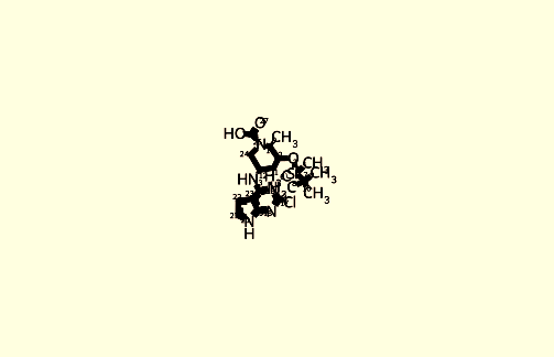 C[C@H]1C(O[Si](C)(C)C(C)(C)C)C[C@@H](Nc2nc(Cl)nc3[nH]ccc23)CN1C(=O)O